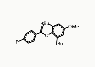 COc1cc(C(C)(C)C)c(OC(=O)c2ccc(F)cc2)c(C(C)(C)C)c1